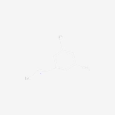 Cc1cc(/C=C/C#N)cc(C(C)C)c1